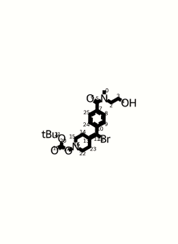 CN(CCO)C(=O)c1ccc(C(Br)=C2CCN(OC(=O)OC(C)(C)C)CC2)cc1